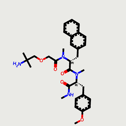 CNC(=O)[C@@H](Cc1ccc(OC)cc1)N(C)C(=O)[C@@H](Cc1ccc2ccccc2c1)N(C)C(=O)COCC(C)(C)N